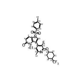 CCn1c(=O)ccc2c1c(-c1cc(C)nc(OC3CCC(C(F)(F)F)CC3)c1F)cn2S(=O)(=O)c1ccc(C)cc1